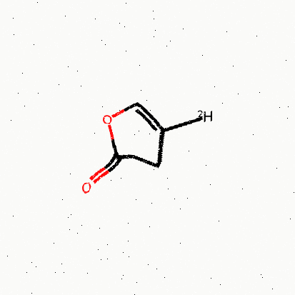 [2H]C1=COC(=O)C1